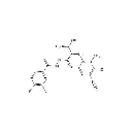 [C-]#[N+]c1ccc(N[C@@H](C(=O)NNC(=O)c2ccc(F)c(F)c2)[C@@H](C)O)c(C)c1Cl